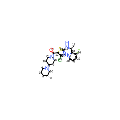 C[C@@H]1CCCN(C2CCN(C(=O)c3sc(N[C@@H](C)c4ncccc4F)nc3Cl)CC2)C1